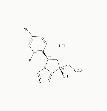 Cl.N#Cc1ccc([C@H]2C[C@](O)(CC(=O)O)c3cncn32)c(F)c1